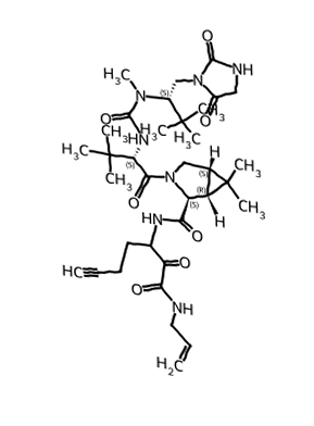 C#CCCC(NC(=O)[C@@H]1[C@@H]2[C@H](CN1C(=O)[C@@H](NC(=O)N(C)[C@H](CN1C(=O)CNC1=O)C(C)(C)C)C(C)(C)C)C2(C)C)C(=O)C(=O)NCC=C